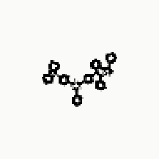 c1ccc(-c2nc(-c3ccc(-c4c(-c5ccccc5)n5ncc(-c6ccccc6)c5c5ccccc45)cc3)nc(-c3ccc(-n4c5ccccc5c5ccccc54)cc3)n2)cc1